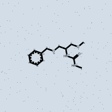 CNC(=O)NC(COC)COCc1ccccc1